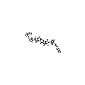 CCCCOCCc1ccc(-c2cc3sc4cc5c(cc4c3s2)sc2cc(-c3ccc(CCCCOCC)s3)sc25)s1